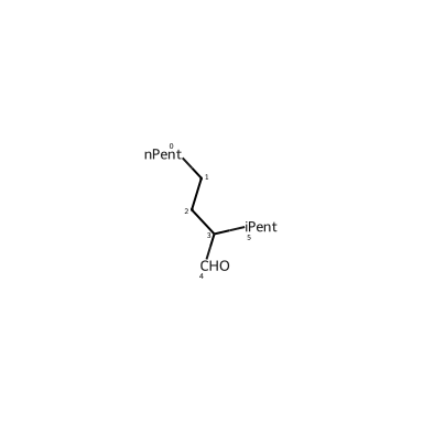 CCCCCCCC(C=O)C(C)CCC